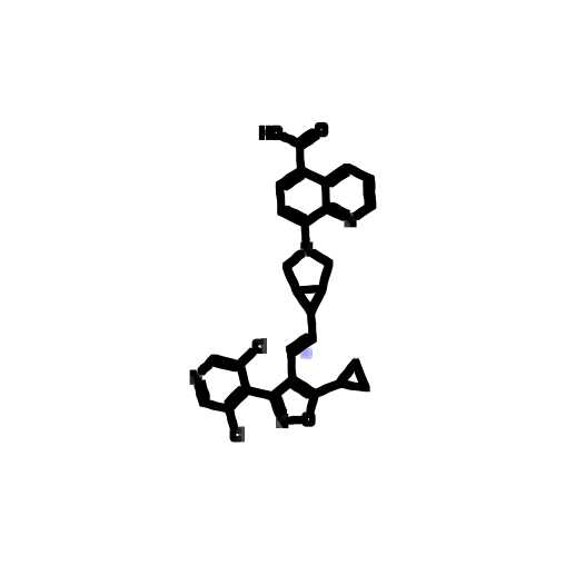 O=C(O)c1ccc(N2CC3C(/C=C/c4c(-c5c(Cl)cncc5Cl)noc4C4CC4)C3C2)c2ncccc12